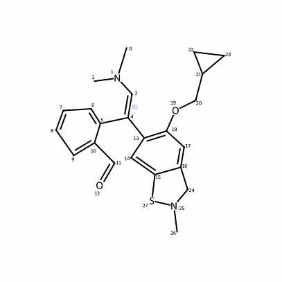 CN(C)/C=C(\c1ccccc1C=O)c1cc2c(cc1OCC1CC1)CN(C)S2